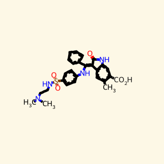 Cc1cc2c(cc1C(=O)O)NC(=O)C2=C(Nc1ccc(S(=O)(=O)NCCN(C)C)cc1)c1ccccc1